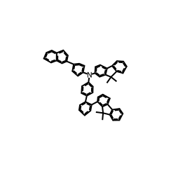 CC1(C)c2ccccc2-c2ccc(N(c3ccc(-c4ccc5ccccc5c4)cc3)c3ccc(-c4ccccc4-c4cccc5c4C(C)(C)c4ccccc4-5)cc3)cc21